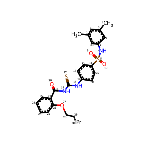 Cc1cc(C)cc(NS(=O)(=O)c2ccc(NC(=S)NC(=O)c3ccccc3OCCC(C)C)cc2)c1